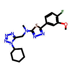 COc1cc(-c2nnc(N(C)Cc3nnnn3C3CCCCC3)s2)ccc1F